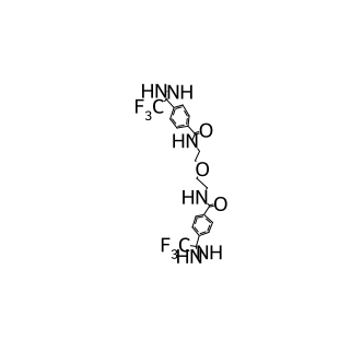 O=C(NCCOCCNC(=O)c1ccc(C2(C(F)(F)F)NN2)cc1)c1ccc(C2(C(F)(F)F)NN2)cc1